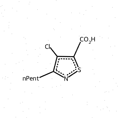 CCCCCc1nsc(C(=O)O)c1Cl